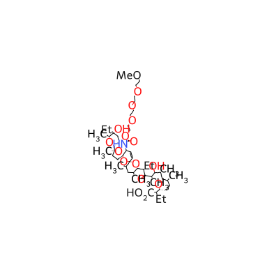 CC[C@@H](C(=O)[C@@H](C)[C@@H](O)[C@H](C)[C@@H]1O[C@@H]([C@@H](CC)C(=O)O)CC[C@@H]1C)[C@H]1O[C@]2(C=CC(NC(=O)OCCOCCOCCOCCOC)[C@]3(CC[C@@](C)([C@H]4CC[C@](O)(CC)[C@H](C)O4)O3)O2)[C@H](C)C[C@@H]1C